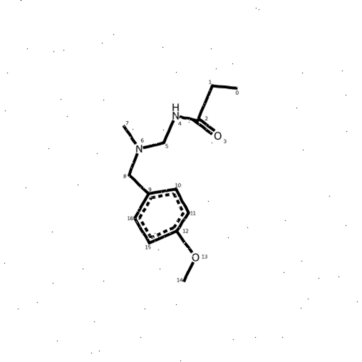 CCC(=O)NCN(C)Cc1ccc(OC)cc1